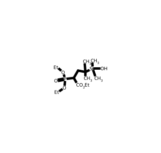 CCOC(=O)C(CC(C)(C)[Si](C)(C)O)P(=O)(OCC)OCC